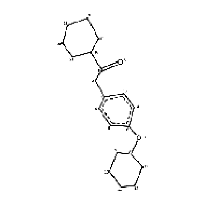 O=C(Cc1ccc(OC2CCCCC2)cc1)C1CCCCC1